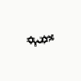 O=C(C=Cc1ccc(OC(F)(F)F)cc1)c1ccccc1